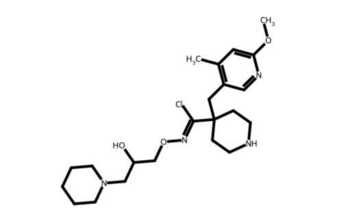 COc1cc(C)c(CC2(C(Cl)=NOCC(O)CN3CCCCC3)CCNCC2)cn1